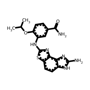 CC(C)Oc1ccc(C(N)=O)cc1Nc1nc2c(ccc3[nH]c(N)nc32)s1